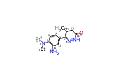 CCN(CC)c1ccc(C2=NNC(=O)CC2C)cc1N